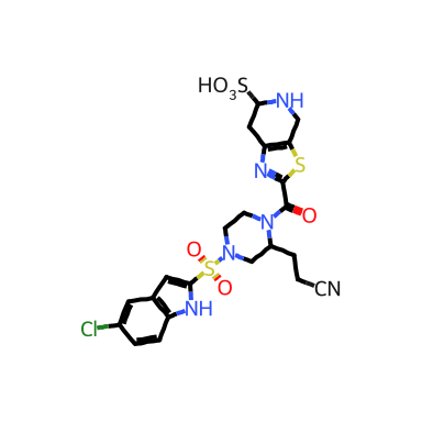 N#CCCC1CN(S(=O)(=O)c2cc3cc(Cl)ccc3[nH]2)CCN1C(=O)c1nc2c(s1)CNC(S(=O)(=O)O)C2